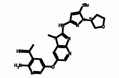 CC(=N)c1cc(Oc2cnc3nc(Nc4cc(C(C)(C)C)n([C@H]5CCOC5)n4)n(C)c3c2)cnc1N